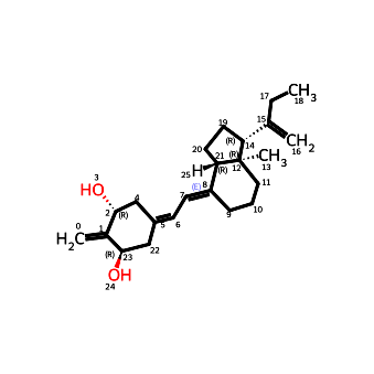 C=C1[C@H](O)CC(=C/C=C2\CCC[C@]3(C)[C@@H](C(=C)CC)CC[C@@H]23)C[C@H]1O